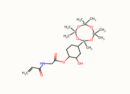 C=CC(=O)NCC(=O)OC1CCC([Si]2(C)O[Si](C)(C)O[Si](C)(C)O[Si](C)(C)O2)CC1O